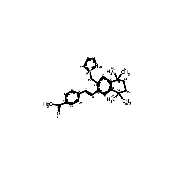 CC(=O)c1ccc(/C=C/c2cc3c(cc2Cn2cccn2)C(C)(C)CCC3(C)C)cc1